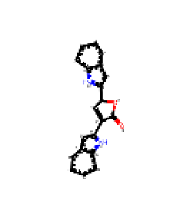 O=C1OC(c2cc3ccccc3[nH]2)C=C1c1cc2ccccc2[nH]1